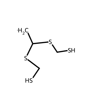 [CH2]C(SCS)SCS